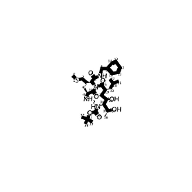 CSCC[C@@H](C(=O)NCc1ccccc1)N(C(=O)[C@H](CC(C)C)C[C@@H](O)[C@@H](NC(=O)OC(C)(C)C)[C@@H](C)O)C(=O)[C@H](C)N